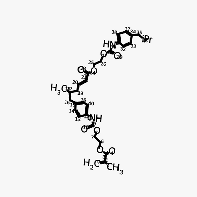 C=C(C)C(=O)OCCOC(=O)Nc1ccc(CC(C)C/C=C/C(=O)OCCOC(=O)Nc2ccc(CC(C)C)cc2)cc1